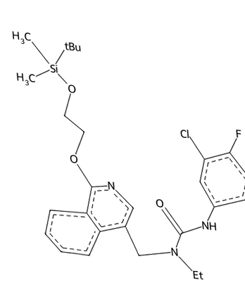 CCN(Cc1cnc(OCCO[Si](C)(C)C(C)(C)C)c2ccccc12)C(=O)Nc1ccc(F)c(Cl)c1